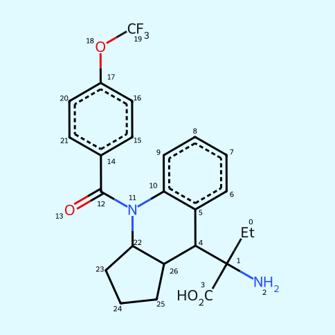 CCC(N)(C(=O)O)C1c2ccccc2N(C(=O)c2ccc(OC(F)(F)F)cc2)C2CCCC21